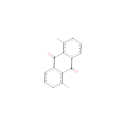 CCc1cccc2c1C(=O)c1cccc(CC)c1C2=O